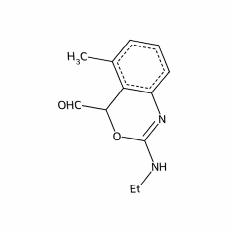 CCNC1=Nc2cccc(C)c2C(C=O)O1